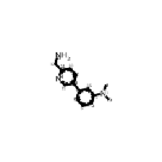 CN(C)c1cccc(-c2ccc(CN)nc2)c1